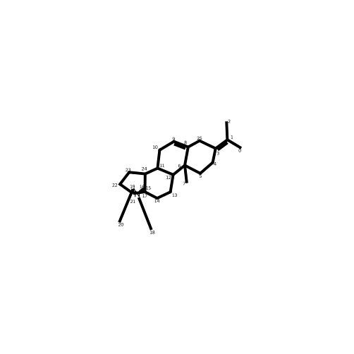 CC(C)=C1CCC2(C)C(=CCC3C2CCC24CN(C)C(C)C2CCC34)C1